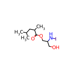 CC(C)CC(C)C(=O)OCC(CO)NI